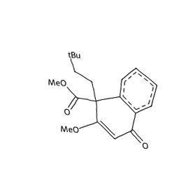 COC(=O)C1(CCC(C)(C)C)C(OC)=CC(=O)c2ccccc21